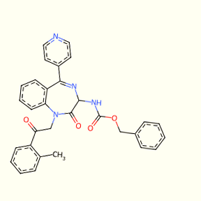 Cc1ccccc1C(=O)CN1C(=O)C(NC(=O)OCc2ccccc2)N=C(c2ccncc2)c2ccccc21